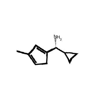 CC1=CCC([C@H](N)C2CC2)=C1